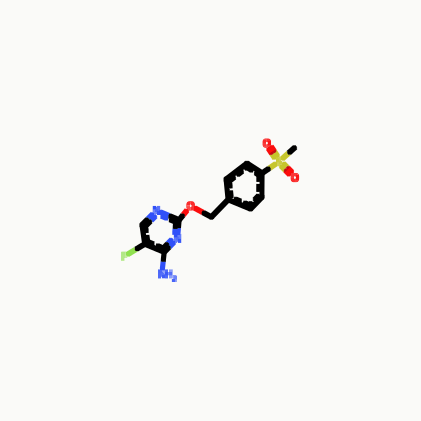 CS(=O)(=O)c1ccc(COc2ncc(F)c(N)n2)cc1